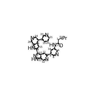 CC(C)CC(=O)Nc1cncc(-c2cc3c(-c4cc5c(-c6cccnc6)cncc5[nH]4)n[nH]c3cn2)c1